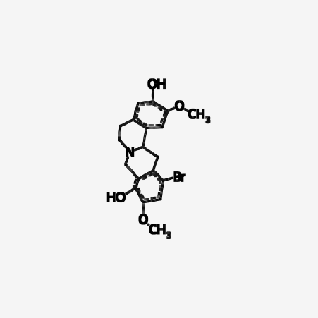 COc1cc2c(cc1O)CCN1Cc3c(O)c(OC)cc(Br)c3CC21